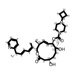 C/C(=C\C=C\[C@H](C)c1ccccn1)[C@H]1OC(=O)C[C@@H](O)CC[C@](C)(O)[C@H](OC(=O)N2CCN(C3CCC3)CC2)/C=C/[C@@H]1C